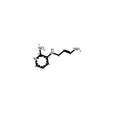 NC=CCNc1cccnc1[N+](=O)[O-]